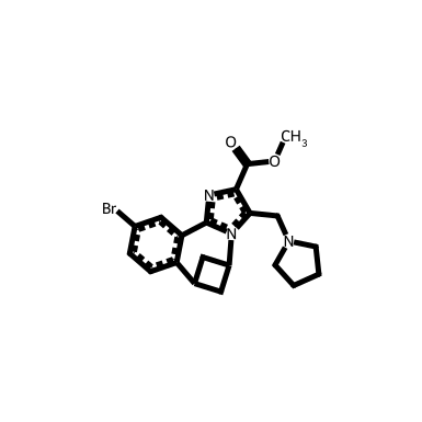 COC(=O)c1nc2n(c1CN1CCCC1)C1CC(C1)c1ccc(Br)cc1-2